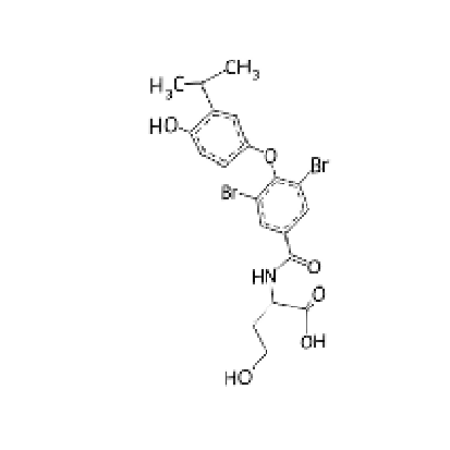 CC(C)c1cc(Oc2c(Br)cc(C(=O)N[C@@H](CCO)C(=O)O)cc2Br)ccc1O